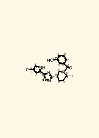 C[C@@H]1CC[C@H](c2noc(-c3cc(Cl)c[nH]3)n2)CN1C(=O)c1cccc(C#N)c1